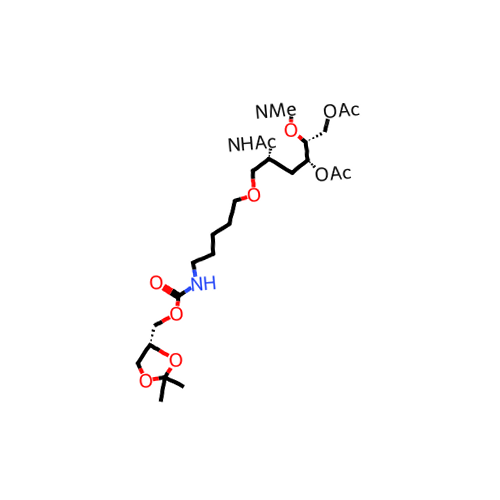 CNO[C@H](COC(C)=O)[C@@H](C[C@H](COCCCCCNC(=O)OC[C@H]1COC(C)(C)O1)NC(C)=O)OC(C)=O